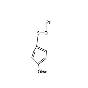 COc1ccc(SOC(C)C)cc1